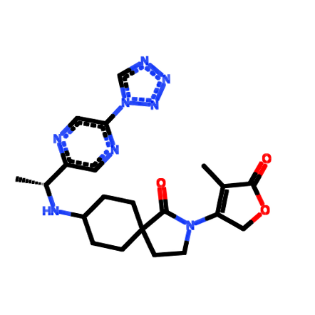 CC1=C(N2CCC3(CCC(N[C@H](C)c4cnc(-n5cnnn5)cn4)CC3)C2=O)COC1=O